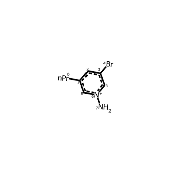 CCCc1cc(Br)c[n+](N)c1